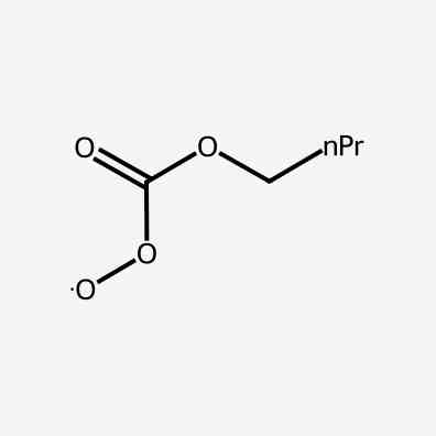 CCCCOC(=O)O[O]